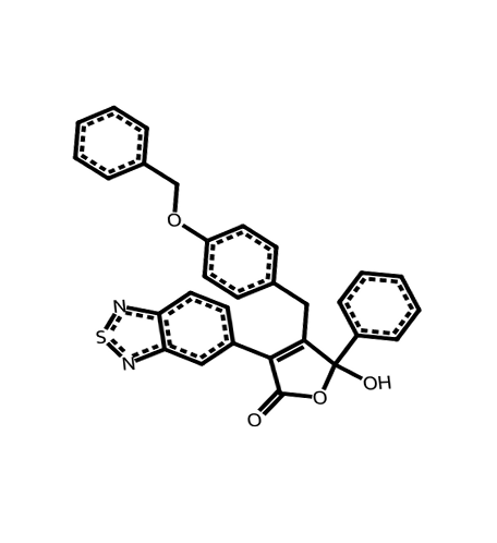 O=C1OC(O)(c2ccccc2)C(Cc2ccc(OCc3ccccc3)cc2)=C1c1ccc2nsnc2c1